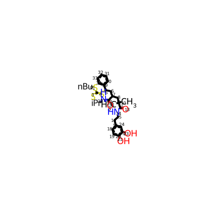 CCCCSC(=S)SC(CC(CC(C)(C)C(=O)NCCc1ccc(O)c(O)c1)C(=O)NC(C)C)c1ccccc1